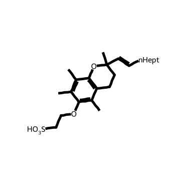 CCCCCCCC=CC1(C)CCc2c(C)c(OCCS(=O)(=O)O)c(C)c(C)c2O1